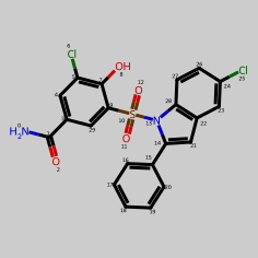 NC(=O)c1cc(Cl)c(O)c(S(=O)(=O)n2c(-c3ccccc3)cc3cc(Cl)ccc32)c1